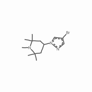 CN1C(C)(C)CC(n2cc(Br)cn2)CC1(C)C